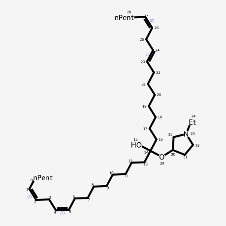 CCCCC/C=C\C/C=C\CCCCCCCCC(O)(CCCCCCC/C=C/C/C=C\CCCCC)OC1CCN(CC)C1